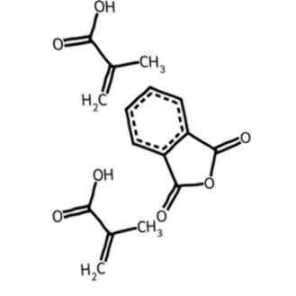 C=C(C)C(=O)O.C=C(C)C(=O)O.O=C1OC(=O)c2ccccc21